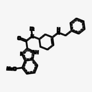 CCN(C(=O)c1nc2c(OC)cccc2[nH]1)C1CCC=C(NCc2ccccc2)C1